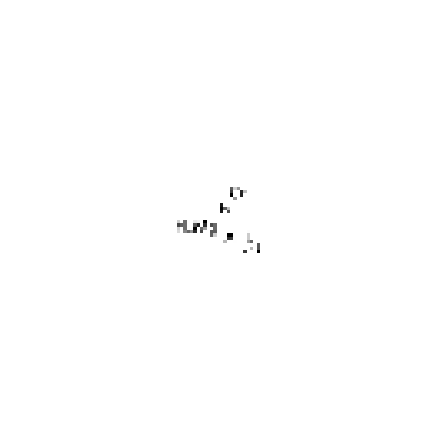 [AlH3].[Cd].[Cu].[Fe].[MgH2]